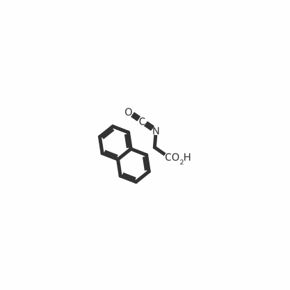 O=C=NCC(=O)O.c1ccc2ccccc2c1